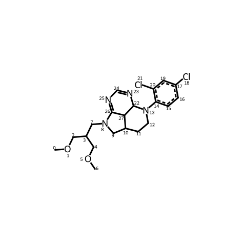 COCC(COC)CN1CC2CCN(c3ccc(Cl)cc3Cl)C3N=CN=C1C23